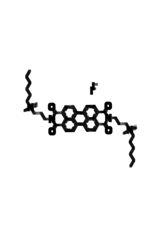 CCCCCC[N+](C)(C)CCCN1C(=O)c2ccc3c4ccc5c6c(ccc(c7ccc(c2c37)C1=O)c64)C(=O)N(CCC[N+](C)(C)CCCCCC)C5=O.[I-].[I-]